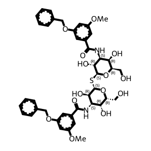 COc1cc(OCc2ccccc2)cc(C(=O)N[C@H]2[C@@H](O)[C@@H](CO)O[C@@H](S[C@@H]3O[C@H](CO)[C@H](O)[C@H](NC(=O)c4cc(OC)cc(OCc5ccccc5)c4)[C@H]3O)[C@@H]2O)c1